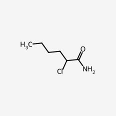 CCCCC(Cl)C(N)=O